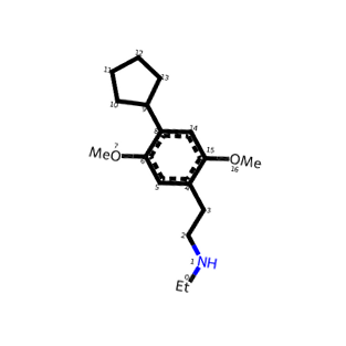 CCNCCc1cc(OC)c(C2CCCC2)cc1OC